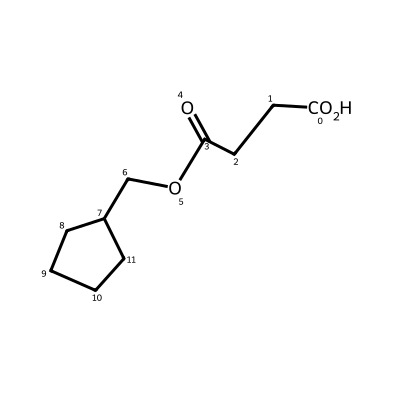 O=C(O)CCC(=O)OCC1CCCC1